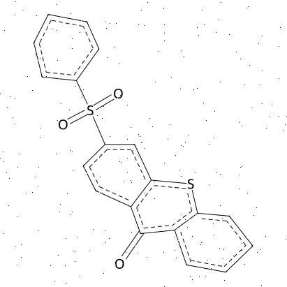 O=c1c2ccccc2sc2cc(S(=O)(=O)c3ccccc3)ccc12